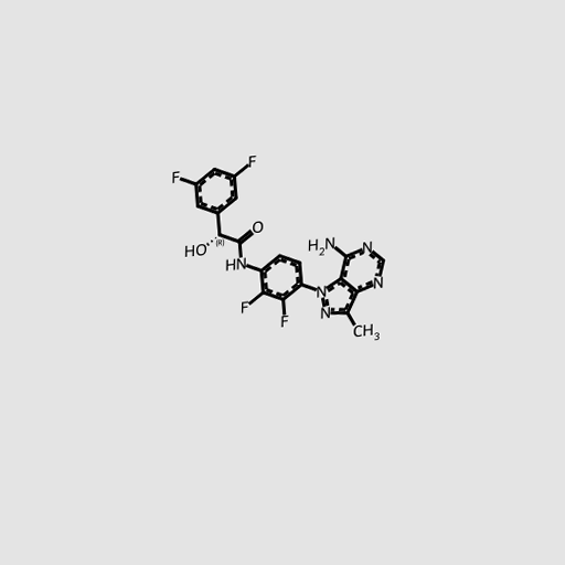 Cc1nn(-c2ccc(NC(=O)[C@H](O)c3cc(F)cc(F)c3)c(F)c2F)c2c(N)ncnc12